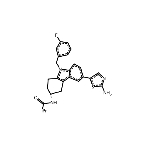 CC(C)C(=O)N[C@@H]1CCc2c(c3cc(-c4cnc(N)s4)ccc3n2Cc2cccc(F)c2)C1